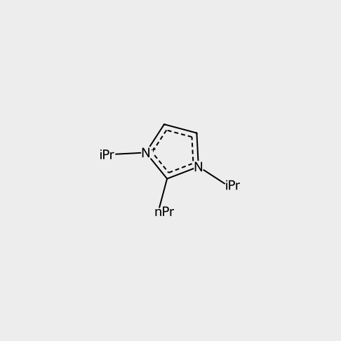 CCCc1n(C(C)C)cc[n+]1C(C)C